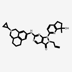 C=CCn1c(=O)c2cnc(Nc3cc4c5c(c3)CN(C3CC3)CC5(C)CCC4)nc2n1-c1ccc2c(n1)C(C)(O)CC2